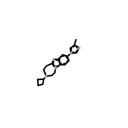 Cc1cn(-c2ccc3c(c2)nc2n3CCN(C3CCC3)CC2)cn1